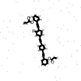 C=CC(=O)Oc1ccccc1C#Cc1ccc(C#Cc2ccc(C#Cc3ccccc3OC(=O)C=C)c(F)c2)cc1